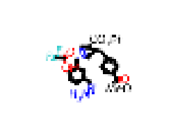 CCOC(=O)c1cn(Cc2cccc(/C=N\N)c2)cc1Cc1ccc(C(=O)OC)cc1.O=C(O)C(F)(F)F